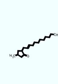 CCCCCCCCC/C=C/CC1CC(C)CC1=O